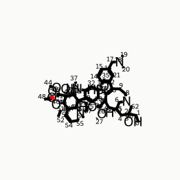 CC[C@]1(O)C[C@H]2CN(CCC3=C(Bc4ccc(CN(C)C)cc43)[C@@](C(=O)OC)(C3C=C4C(=CC3OC)N(C)[C@H]3[C@@](O)(C(=O)OC)[C@H](OC(C)=O)[C@]5(CC)C=CCN6CC[C@]43[C@@H]65)C2)C1